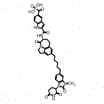 Cn1c(=O)n(C2CCC(=O)NC2=O)c2ccc(CCCCCc3cc4c5c(c3)CCN5C(=O)[C@@H](NC(=O)c3cc5cc(C(=O)P(=O)(O)O)ccc5[nH]3)CC4)cc21